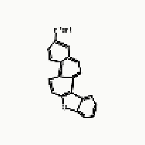 CCCCCc1ccc2c(ccc3c2ccc2oc4ccccc4c23)c1